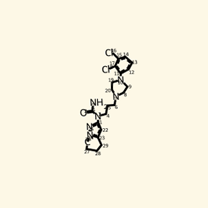 NC(=O)N(CCCN1CCN(c2cccc(Cl)c2Cl)CC1)c1cc2n(n1)CCCC2